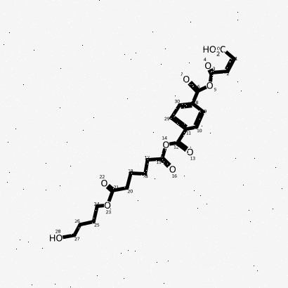 O=C(O)/C=C\C(=O)OC(=O)c1ccc(C(=O)OC(=O)CCCCC(=O)OCCCCO)cc1